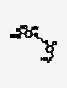 CCCc1c(OCCCSc2ccc(CC(=O)O)cc2Cl)ccc(C(CC)=NO)c1O